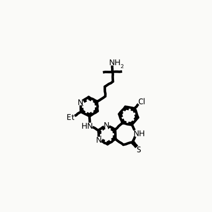 CCc1ncc(CCCC(C)(C)N)cc1Nc1ncc2c(n1)-c1ccc(Cl)cc1NC(=S)C2